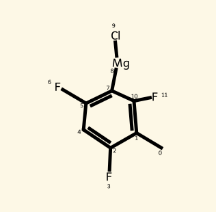 Cc1c(F)cc(F)[c]([Mg][Cl])c1F